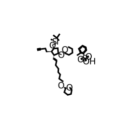 C#CCC[C@@H]1[C@@H](/C=C/CCCCCCOC2CCCCO2)[C@H](OC2CCCCO2)C[C@@H]1O[Si](C)(C)C(C)(C)C.Cc1ccccc1S(=O)(=O)O